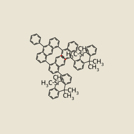 CC1(C)c2ccccc2[Si](C)(C)c2c(-c3ccc(-c4cccc5c(-c6ccccc6)c6cccc(-c7ccc(-c8cccc9c8[Si](C)(C)c8ccccc8C9(C)C)c8ccccc78)c6cc45)c4ccccc34)cccc21